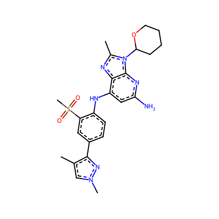 Cc1cn(C)nc1-c1ccc(Nc2cc(N)nc3c2nc(C)n3C2CCCCO2)c(S(C)(=O)=O)c1